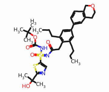 CCCc1cc(-c2ccc3c(c2)CCOC3)cc(CCC)c1CC(=O)N=S(=O)(NC(=O)OC(C)(C)C)c1cnc(C(C)(C)O)s1